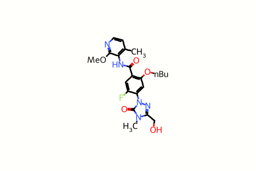 CCCCOc1cc(-n2nc(CO)n(C)c2=O)c(F)cc1C(=O)Nc1c(C)ccnc1OC